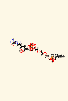 COOP(=O)(OC)OCCOCCOCCOP(=O)(O)OCC(CO)CCCCNC(N)=O